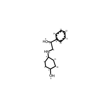 OC1CCC(NCC(O)c2ccccc2)CC1